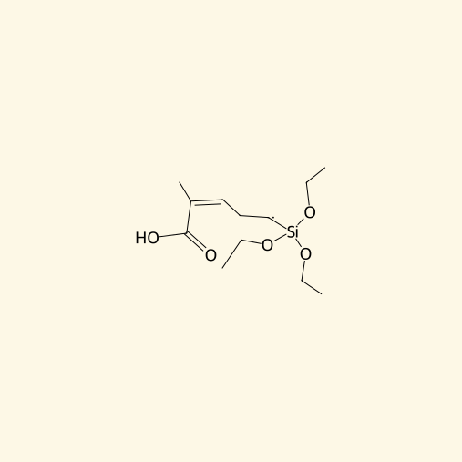 CCO[Si]([CH]CC=C(C)C(=O)O)(OCC)OCC